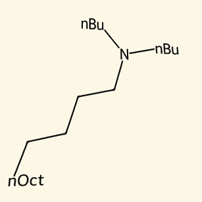 CCCCCCCCCCCCN(CCCC)CCCC